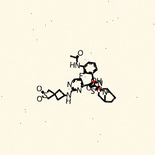 CC(=O)Nc1cccc(-c2nc(N3C4CCC3CN(C(=O)O)C4)sc2-c2ccnc(NC3CC4(C3)CS(=O)(=O)C4)n2)c1F